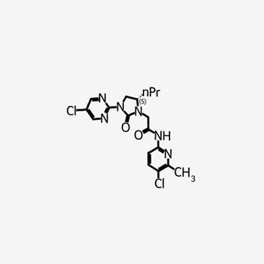 CCC[C@H]1CN(c2ncc(Cl)cn2)C(=O)N1CC(=O)Nc1ccc(Cl)c(C)n1